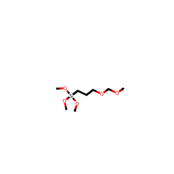 COCOCCC[Si](OC)(OC)OC